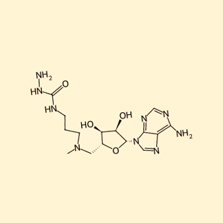 CN(CCCNC(=O)NN)C[C@H]1O[C@@H](n2cnc3c(N)ncnc32)[C@H](O)[C@@H]1O